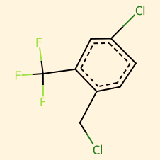 FC(F)(F)c1cc(Cl)ccc1CCl